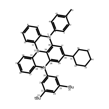 Cc1ccc(N2c3ccccc3B3c4ccccc4N(c4cc(C(C)(C)C)cc(C(C)(C)C)c4)c4cc(C5CCCCC5)cc2c43)cc1